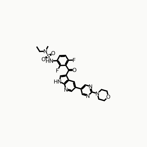 CCN(C)S(=O)(=O)Nc1ccc(F)c(C(=O)c2c[nH]c3ncc(-c4cnc(N5CCOCC5)nc4)cc23)c1F